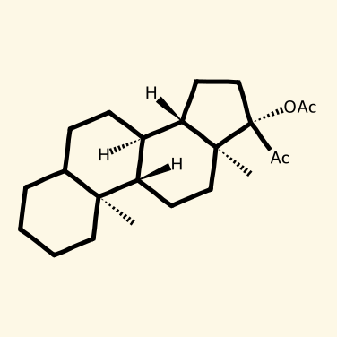 CC(=O)O[C@@]1(C(C)=O)CC[C@H]2[C@@H]3CCC4CCCC[C@]4(C)[C@H]3CC[C@@]21C